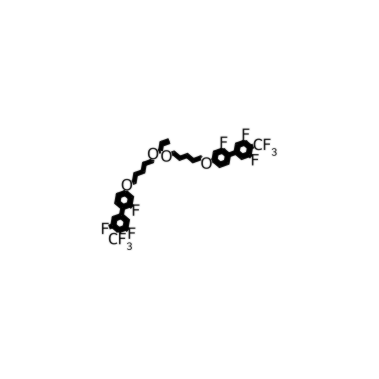 C=CC(OCCCCCOc1ccc(-c2cc(F)c(C(F)(F)F)c(F)c2)c(F)c1)OCCCCCOc1ccc(-c2cc(F)c(C(F)(F)F)c(F)c2)c(F)c1